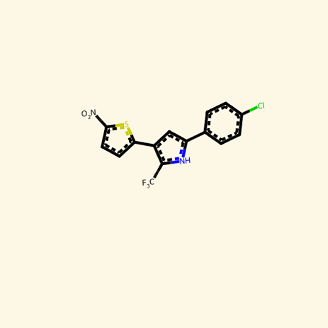 O=[N+]([O-])c1ccc(-c2cc(-c3ccc(Cl)cc3)[nH]c2C(F)(F)F)s1